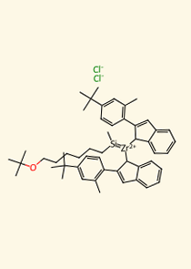 Cc1cc(C(C)(C)C)ccc1C1=Cc2ccccc2[CH]1[Zr+2]([CH]1C(c2ccc(C(C)(C)C)cc2C)=Cc2ccccc21)=[Si](C)CCCCCCOC(C)(C)C.[Cl-].[Cl-]